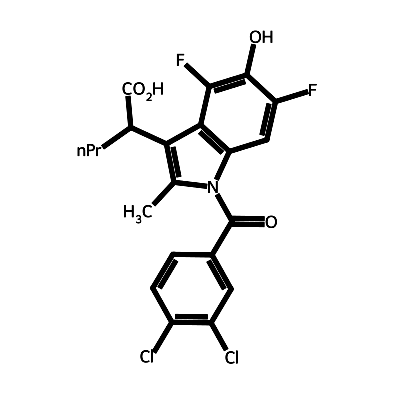 CCCC(C(=O)O)c1c(C)n(C(=O)c2ccc(Cl)c(Cl)c2)c2cc(F)c(O)c(F)c12